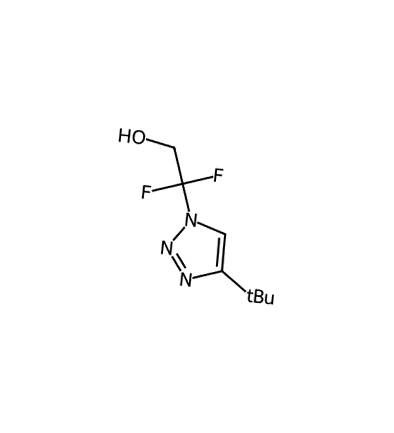 CC(C)(C)c1cn(C(F)(F)CO)nn1